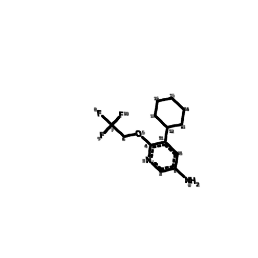 Nc1cnc(OCC(F)(F)F)c(C2CCCCC2)c1